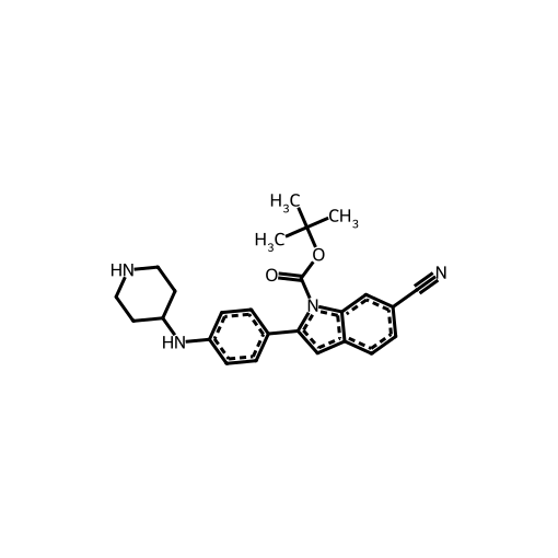 CC(C)(C)OC(=O)n1c(-c2ccc(NC3CCNCC3)cc2)cc2ccc(C#N)cc21